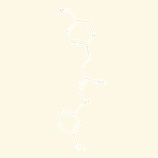 COc1cnc(OC/C(N)=C/Nc2cccc(C)c2)nc1